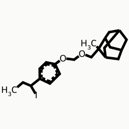 CCC(I)c1ccc(OCOCC2(C)C3CC4CC(C3)CC2C4)cc1